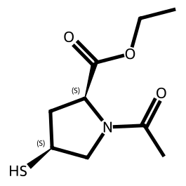 CCOC(=O)[C@@H]1C[C@H](S)CN1C(C)=O